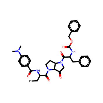 CC(C)CC(NC(=O)c1ccc(N(C)C)cc1)C(=O)N1CCC2C1C(=O)CN2C(=O)C(Cc1ccccc1)NC(=O)OCc1ccccc1